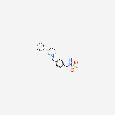 C[C@@H](NS(C)(=O)=O)c1ccc(CN2CCC[C@@H](c3ccccc3)C2)cc1